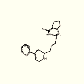 O=c1[nH]c(CCCC2CC(c3ccccc3)=CCN2)nc2c1CCC2